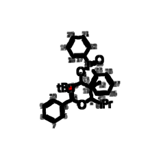 CC(C)C(OC(=O)c1ccccc1)C(C)C(OP(=O)(c1ccccc1)c1ccccc1)C(C)(C)C